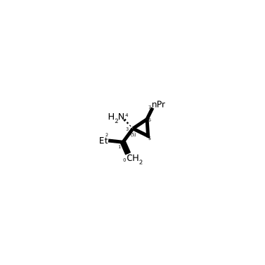 C=C(CC)[C@]1(N)CC1CCC